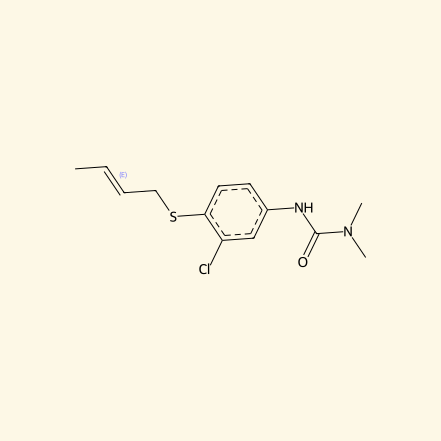 C/C=C/CSc1ccc(NC(=O)N(C)C)cc1Cl